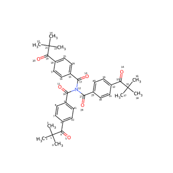 CC(C)(C)C(=O)c1ccc(C(=O)N(C(=O)c2ccc(C(=O)C(C)(C)C)cc2)C(=O)c2ccc(C(=O)C(C)(C)C)cc2)cc1